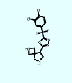 FC(F)(c1ccc(Cl)c(Cl)c1)c1nnc(C2CNCC23CNC3)o1